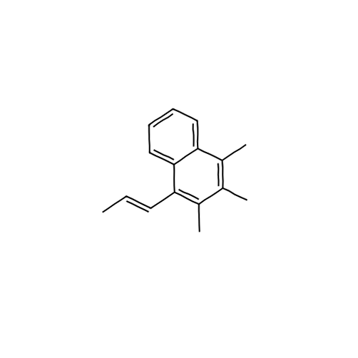 CC=Cc1c(C)c(C)c(C)c2ccccc12